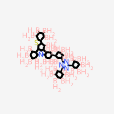 Bc1c(B)c(B)c(-c2nc(-c3c(B)c(B)c(B)c(B)c3B)nc(-c3c(B)c(B)c(B)c(-c4c(B)c(B)c5c(c4B)c4c(B)c6c(sc7c(B)c(B)c(B)c(B)c76)c6c7c(B)c(B)c(B)c(B)c7n5c46)c3B)n2)c(B)c1B